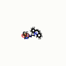 CN(C/C=C/CCN1c2ccccc2C=Cc2ccccc21)S(=O)(=O)C(F)(F)F